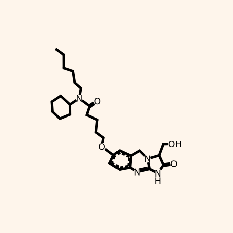 CCCCCCN(C(=O)CCCCOc1ccc2c(c1)CN1C(=N2)NC(=O)C1CO)C1CCCCC1